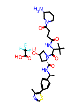 Cc1ncsc1-c1ccc([C@H](C)NC(=O)[C@@H]2C[C@@H](O)CN2C(=O)[C@@H](NC(=O)CCC(=O)N2CCC[C@@H](N)C2)C(C)(C)C)cc1.O=C(O)C(F)(F)F